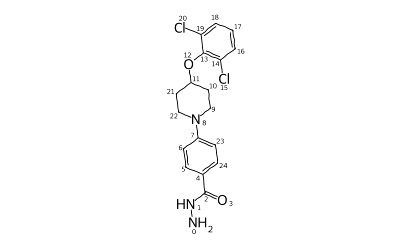 NNC(=O)c1ccc(N2CCC(Oc3c(Cl)cccc3Cl)CC2)cc1